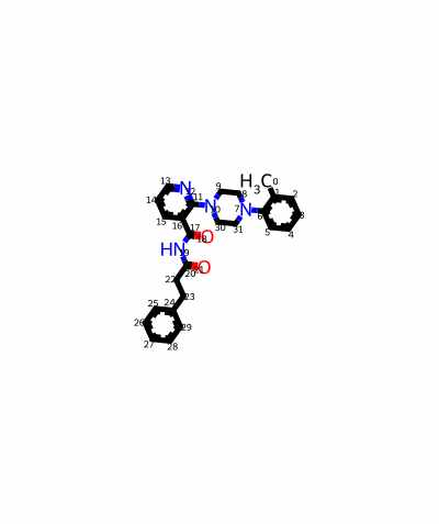 Cc1ccccc1N1CCN(c2ncccc2C(=O)NC(=O)CCc2ccccc2)CC1